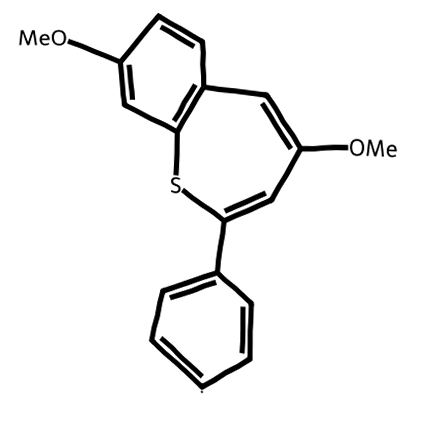 COC1=Cc2ccc(OC)cc2SC(c2cc[c]cc2)=C1